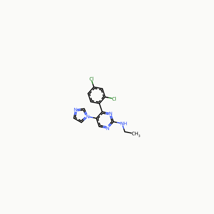 CCNc1ncc(-n2ccnc2)c(-c2ccc(Cl)cc2Cl)n1